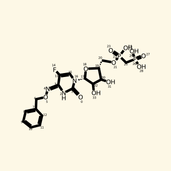 O=c1[nH]/c(=N\OCc2ccccc2)c(F)cn1[C@@H]1O[C@H](COP(=O)(O)CP(=O)(O)O)C(O)C1O